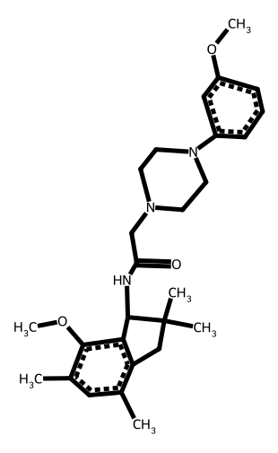 COc1cccc(N2CCN(CC(=O)NC3c4c(c(C)cc(C)c4OC)CC3(C)C)CC2)c1